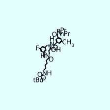 CCCN(CCC)C(=O)c1cc(C)cc(C(=O)N[C@@H](Cc2cc(F)cc(F)c2)[C@H](O)CCNC(=O)CCCCCNC(=O)OC(C)(C)C)c1